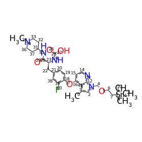 Cc1cn(COCC[Si](C)(C)C)c2nccc(Oc3ccc(C[C@H](NC(=O)O)C(=O)NC4CCN(C)CC4)cc3F)c12